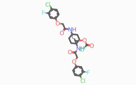 O=C(COc1ccc(Cl)c(F)c1)NC12CCC(NC(=O)COc3ccc(Cl)c(F)c3)(CC1)C(OC(=O)Cl)C2